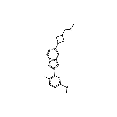 CNc1ccc(F)c(-n2cc3cc(N4CC(COC)C4)cnc3n2)c1